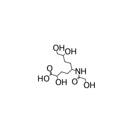 O=C(CO)NC(CCC(O)CO)CCC(O)C(=O)O